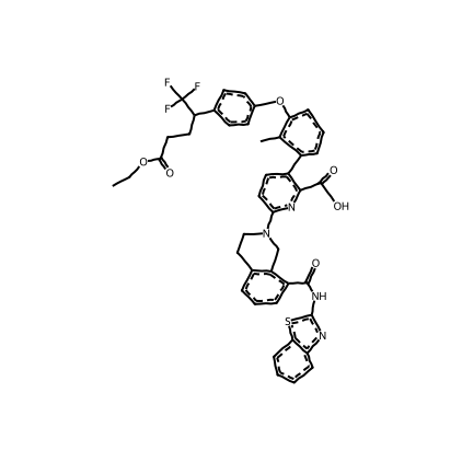 CCOC(=O)CCC(c1ccc(Oc2cccc(-c3ccc(N4CCc5cccc(C(=O)Nc6nc7ccccc7s6)c5C4)nc3C(=O)O)c2C)cc1)C(F)(F)F